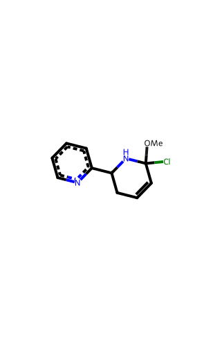 COC1(Cl)C=CC[C](c2ccccn2)N1